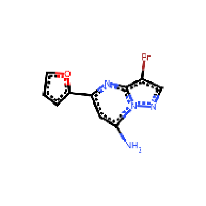 Nc1cc(-c2ccco2)nc2c(Br)cnn12